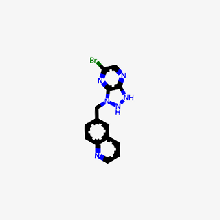 Brc1cnc2c(n1)N(Cc1ccc3ncccc3c1)NN2